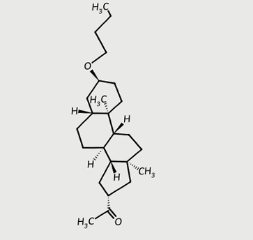 CCCCO[C@H]1CC[C@]2(C)[C@H](CC[C@@H]3[C@H]4C[C@@H](C(C)=O)C[C@]4(C)CC[C@H]32)C1